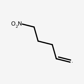 [CH]=CCCC[N+](=O)[O-]